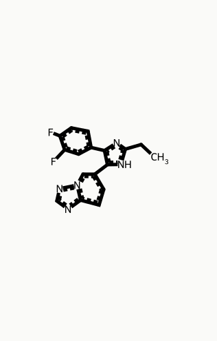 CCc1nc(-c2ccc(F)c(F)c2)c(-c2ccc3ncnn3c2)[nH]1